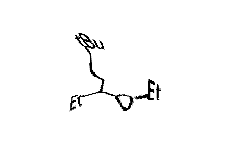 CCOC(CC)CCC(C)(C)C